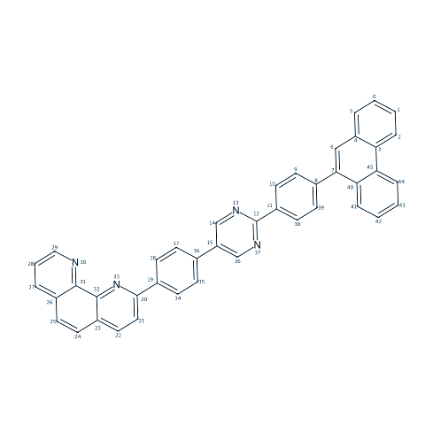 c1ccc2c(c1)cc(-c1ccc(-c3ncc(-c4ccc(-c5ccc6ccc7cccnc7c6n5)cc4)cn3)cc1)c1ccccc12